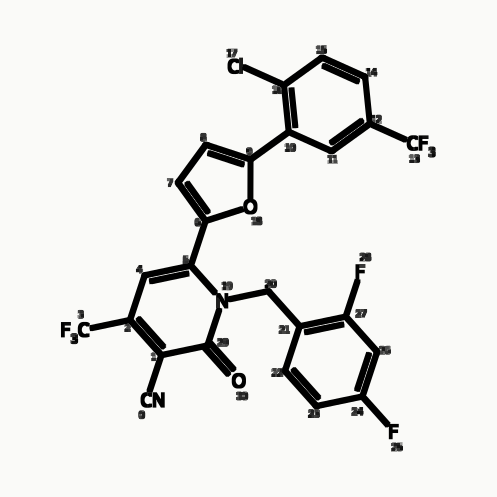 N#Cc1c(C(F)(F)F)cc(-c2ccc(-c3cc(C(F)(F)F)ccc3Cl)o2)n(Cc2ccc(F)cc2F)c1=O